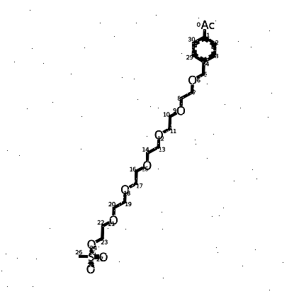 CC(=O)c1ccc(COCCOCCOCCOCCOCCOCCOS(C)(=O)=O)cc1